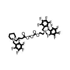 C[N+](CCOC(=O)OCOC(=O)CCC[N+]1(Cc2c(F)c(F)c(F)c(F)c2F)CCCCC1)(Cc1c(F)c(F)c(F)c(F)c1F)Cc1c(F)c(F)c(F)c(F)c1F